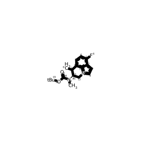 CC1c2ccc(F)c3ccn(c23)C[C@@H]1N(C)C(=O)OC(C)(C)C